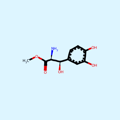 COC(=O)[C@@H](N)[C@H](O)c1ccc(O)c(O)c1